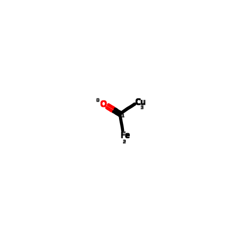 O=[C]([Fe])[Cu]